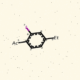 CCc1ccc(C(C)=O)c(I)c1